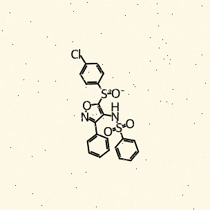 O=S(=O)(Nc1c(-c2ccccc2)noc1[S+]([O-])c1ccc(Cl)cc1)c1ccccc1